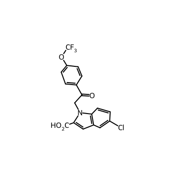 O=C(Cn1c(C(=O)O)cc2cc(Cl)ccc21)c1ccc(OC(F)(F)F)cc1